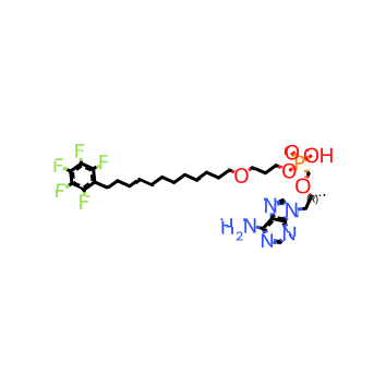 C[C@H](Cn1cnc2c(N)ncnc21)OCP(=O)(O)OCCCOCCCCCCCCCCCCc1c(F)c(F)c(F)c(F)c1F